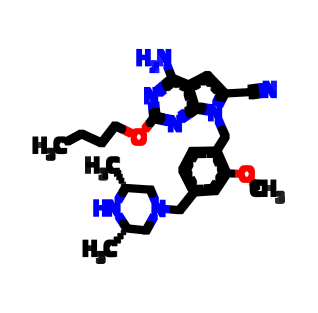 CCCCOc1nc(N)c2cc(C#N)n(Cc3ccc(CN4C[C@@H](C)N[C@@H](C)C4)cc3OC)c2n1